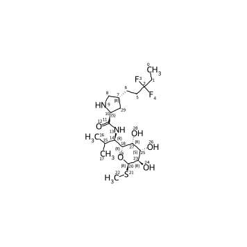 CCC(F)(F)CC[C@H]1CN[C@H](C(=O)N[C@H](C(C)C)[C@H]2O[C@H](SC)[C@H](O)[C@@H](O)[C@H]2O)C1